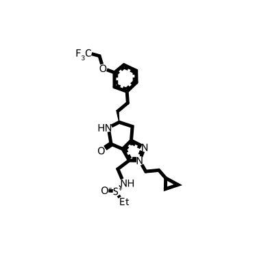 CC[S+]([O-])NCc1c2c(nn1CCC1CC1)C[C@H](CCc1cccc(OCC(F)(F)F)c1)NC2=O